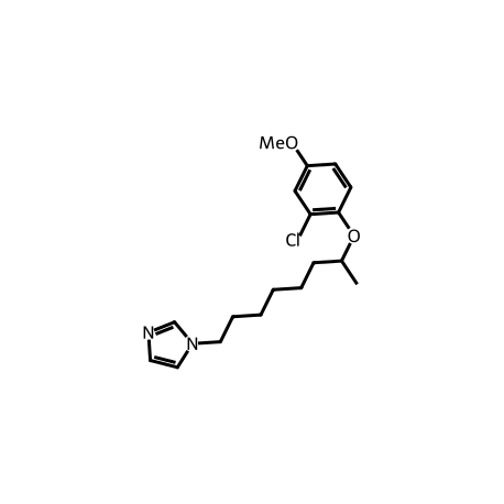 COc1ccc(OC(C)CCCCCCn2ccnc2)c(Cl)c1